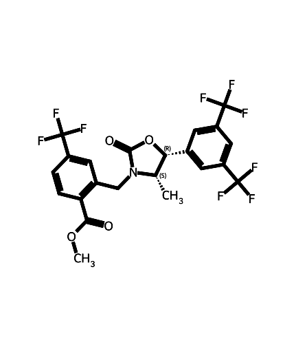 COC(=O)c1ccc(C(F)(F)F)cc1CN1C(=O)O[C@H](c2cc(C(F)(F)F)cc(C(F)(F)F)c2)[C@@H]1C